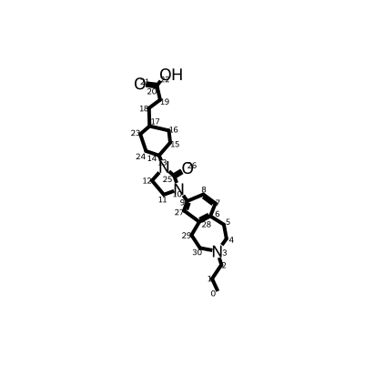 CCCN1CCc2ccc(N3CCN(C4CCC(CCC(=O)O)CC4)C3=O)cc2CC1